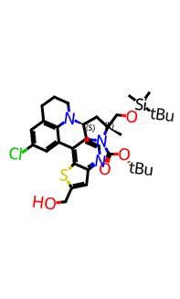 CC(C)(C)OC(=O)N1C[C@@H](N2CCCc3cc(Cl)cc(-c4ccnc5cc(CO)sc45)c32)C[C@]1(C)CO[Si](C)(C)C(C)(C)C